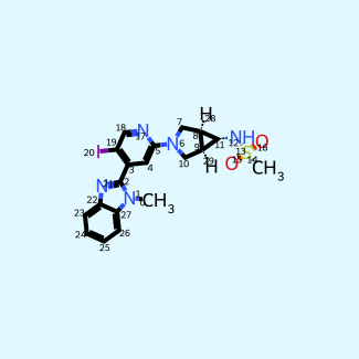 Cn1c(-c2cc(N3C[C@@H]4[C@H](C3)[C@H]4NS(C)(=O)=O)ncc2I)nc2ccccc21